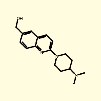 CN(C)C1CCN(c2ccc3cc(CO)ccc3n2)CC1